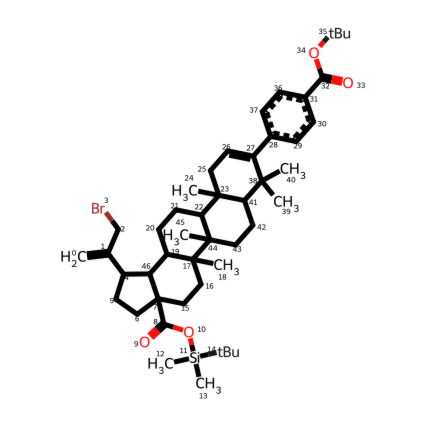 C=C(CBr)C1CCC2(C(=O)O[Si](C)(C)C(C)(C)C)CCC3(C)C(CCC4C5(C)CC=C(c6ccc(C(=O)OC(C)(C)C)cc6)C(C)(C)C5CCC43C)C12